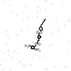 C=CCCCCC1CCC(OC(=O)c2ccc(/C=C/C(=O)OCc3cc(N)ccc3N)cc2)CC1